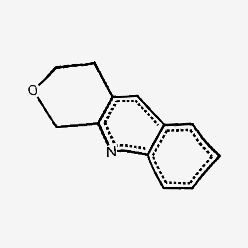 c1ccc2nc3c(cc2c1)CCOC3